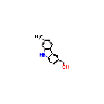 Cc1ccc2c(c1)[nH]c1ccc(CO)cc12